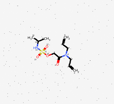 C=CCN(CC=C)C(=O)COS(=O)(=O)NC(C)C